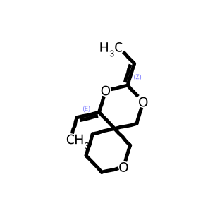 C/C=C1/OCC2(CCCOC2)/C(=C\C)O1